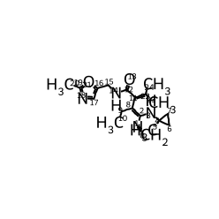 C=N/C(NC1(C)CC1)=C(\CC)C(C(=O)NCc1cnc(C)o1)=C(C)C